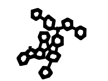 c1ccc(-c2ccc(N(c3cccc(-c4ccccc4)c3)c3ccc4c(c3)C3(c5cc(-c6ccccc6)ccc5-4)c4ccccc4-c4c3ccc3c4sc4ccccc43)cc2)cc1